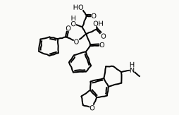 CNC1CCc2cc3c(cc2C1)OCC3.O=C(OC(C(=O)O)(C(=O)c1ccccc1)C(O)C(=O)O)c1ccccc1